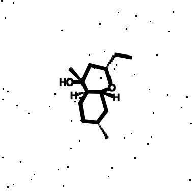 CC[C@H]1C[C@@](C)(O)[C@@H]2CC[C@@H](C)C[C@H]2O1